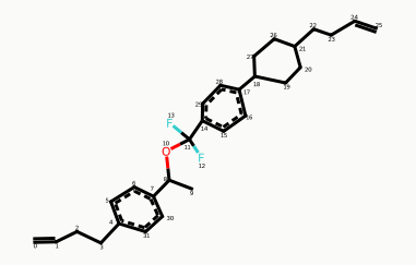 C=CCCc1ccc(C(C)OC(F)(F)c2ccc(C3CCC(CCC=C)CC3)cc2)cc1